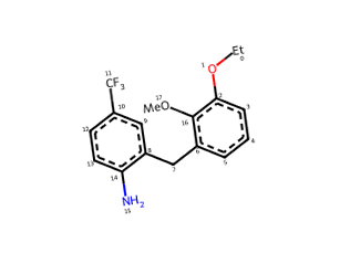 CCOc1cccc(Cc2cc(C(F)(F)F)ccc2N)c1OC